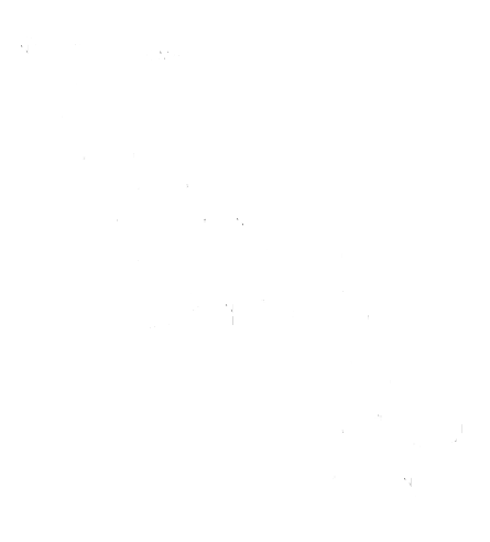 COc1cc(-c2ccc3c(c2)Nc2ccc(CCOc4cccnc4C)cc2NC3=O)ccc1CC#N